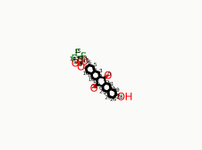 O=C1c2cc3ccc(OS(=O)(=O)C(F)(F)F)cc3cc2C(=O)c2cc3ccc(O)cc3cc21